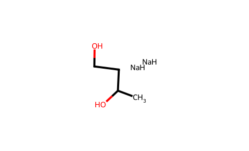 CC(O)CCO.[NaH].[NaH]